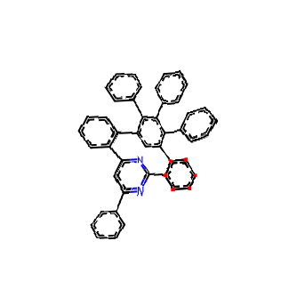 c1ccc(-c2cc(-c3ccccc3-c3cc(-c4ccccc4)c(-c4ccccc4)c(-c4ccccc4)c3-c3ccccc3)nc(-c3ccccc3)n2)cc1